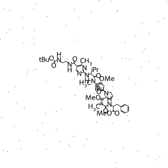 CC[C@H](C)[C@@H]([C@@H](CC(=O)N1CCCC1[C@H](OC)[C@@H](C)C(=O)NC(Cc1ccccc1)C(=O)OC)OC)N(C)C(=O)C(Nc1ncc(C(=O)NCCNC(=O)OC(C)(C)C)c(C)n1)C(C)C